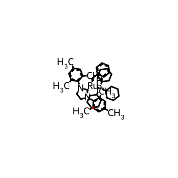 Cc1cc(C)c(N2CCN(c3c(C)cc(C)cc3C)[C]2=[Ru](=[CH]/c2ccccc2)/[PH](C2CCCCC2)(C2CCCCC2)C2CCCCC2)c(C)c1